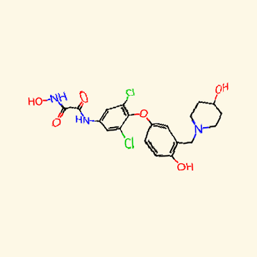 O=C(NO)C(=O)Nc1cc(Cl)c(Oc2ccc(O)c(CN3CCC(O)CC3)c2)c(Cl)c1